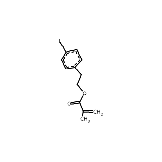 C=C(C)C(=O)OCCc1ccc(I)cc1